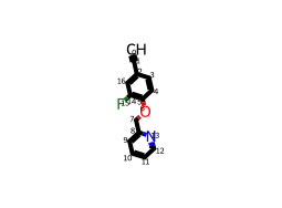 C#Cc1ccc(OCc2ccccn2)c(F)c1